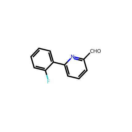 O=Cc1cccc(-c2ccccc2F)n1